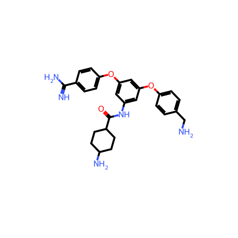 N=C(N)c1ccc(Oc2cc(NC(=O)C3CCC(N)CC3)cc(Oc3ccc(CN)cc3)c2)cc1